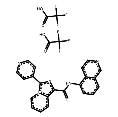 O=C(Nc1cccc2cnccc12)c1nc(-c2ccncc2)n2ccccc12.O=C(O)C(F)(F)F.O=C(O)C(F)(F)F